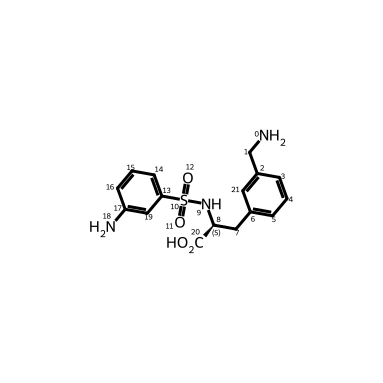 NCc1cccc(C[C@H](NS(=O)(=O)c2cccc(N)c2)C(=O)O)c1